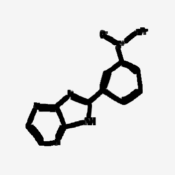 CCC[S+]([O-])c1cccc(-c2nc3nccnc3[nH]2)c1